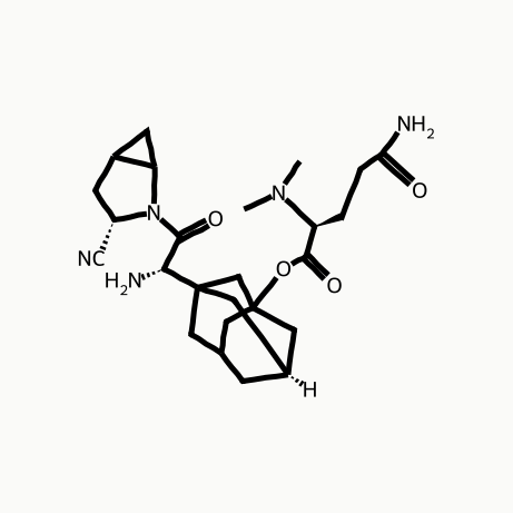 CN(C)[C@@H](CCC(N)=O)C(=O)OC12CC3C[C@H](C1)CC([C@H](N)C(=O)N1C4CC4C[C@H]1C#N)(C3)C2